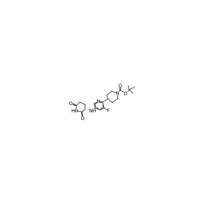 CC(C)(C)OC(=O)N1CCC(c2ncc(N[C@H]3CCC(=O)NC3=O)cc2F)CC1